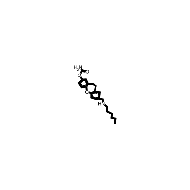 CCCCCCNCc1ccc2c(c1)CCc1cc(OC(N)=O)ccc1O2